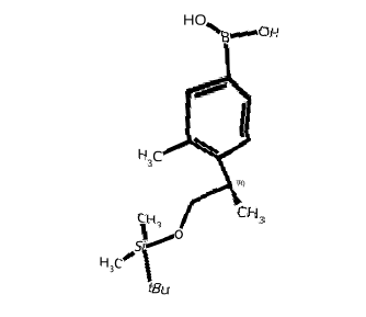 Cc1cc(B(O)O)ccc1[C@@H](C)CO[Si](C)(C)C(C)(C)C